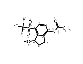 CC(=O)Nc1ccc(S(=O)(=O)C(F)(F)F)c2c1CCC2O